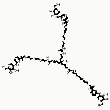 NC(CCCNC(=O)NCCOCCOCCOCC(F)(F)c1cncc(N[C@H]2CO[C@H](CO)[C@H](O)[C@@H]2O)n1)(CCCNC(=O)NCCOCCOCCOCC(F)(F)c1cncc(N[C@H]2CO[C@H](CO)[C@H](O)[C@@H]2O)n1)CCCNC(=O)NCCOCCOCCOCC(F)(F)c1cncc(N[C@H]2CO[C@H](CO)[C@H](O)[C@@H]2O)n1